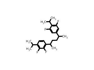 CC(C)c1ccc(C(C)CCC(C)c2cc(F)c(C(C)C)c(F)c2)c(F)c1F